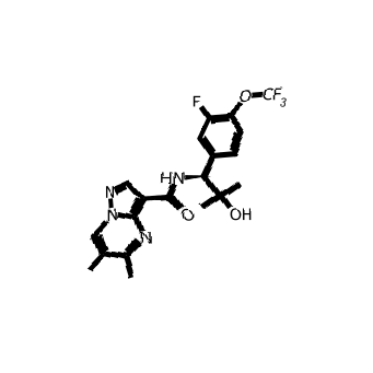 Cc1cn2ncc(C(=O)N[C@@H](c3ccc(OC(F)(F)F)c(F)c3)C(C)(C)O)c2nc1C